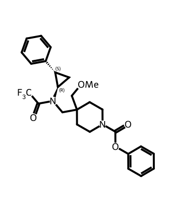 COCC1(CN(C(=O)C(F)(F)F)[C@@H]2C[C@H]2c2ccccc2)CCN(C(=O)Oc2ccccc2)CC1